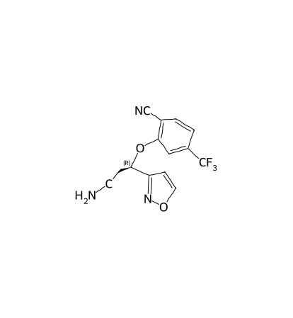 N#Cc1ccc(C(F)(F)F)cc1O[C@H](CCN)c1ccon1